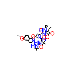 CCOc1ccc2c(O[C@@H]3C[C@@H](C(=O)N[C@]4(NC5CC5)C(=O)C(=O)C4CC)N(C(=O)[C@@H](NC(=O)NC(C)(C)C)C(C)(C)C)C3)nccc2c1